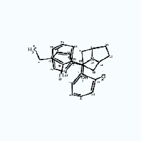 CCc1cnc(C2(O)CC3CCC(C2)N3C(c2ccccc2Cl)c2ccccc2Cl)nc1